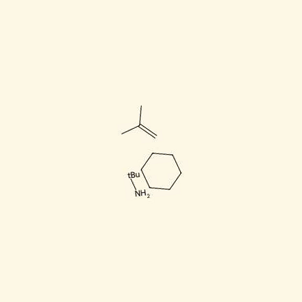 C1CCCCC1.C=C(C)C.CC(C)(C)N